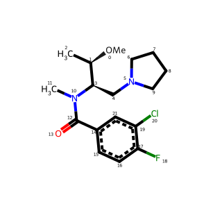 CO[C@H](C)[C@@H](CN1CCCC1)N(C)C(=O)c1ccc(F)c(Cl)c1